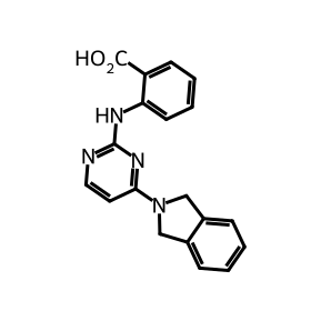 O=C(O)c1ccccc1Nc1nccc(N2Cc3ccccc3C2)n1